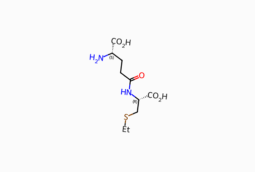 CCSC[C@H](NC(=O)CC[C@H](N)C(=O)O)C(=O)O